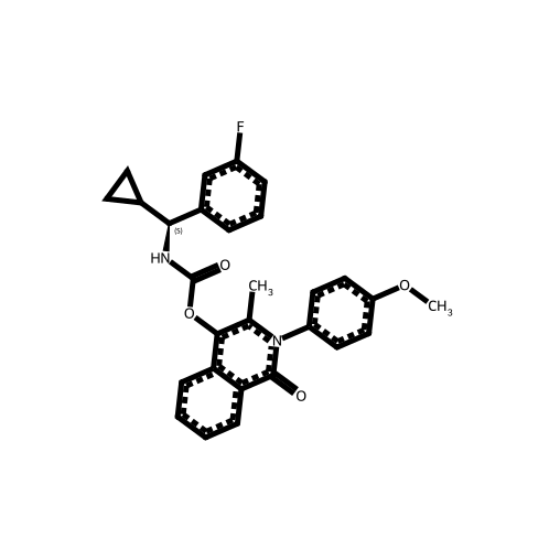 COc1ccc(-n2c(C)c(OC(=O)N[C@H](c3cccc(F)c3)C3CC3)c3ccccc3c2=O)cc1